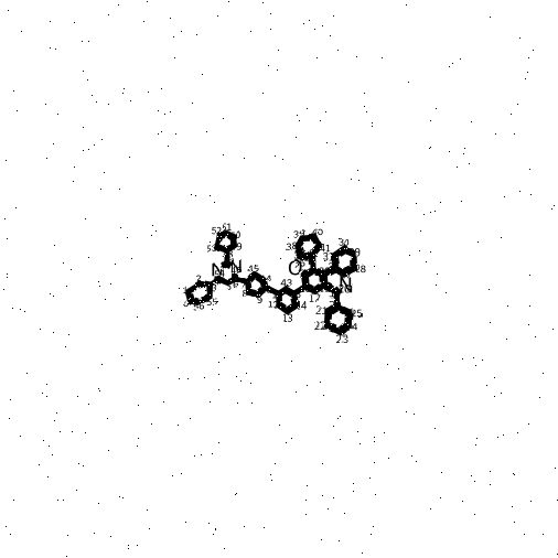 c1ccc(-c2cc(-c3ccc(-c4cccc(-c5cc6c(-c7ccccc7)nc7ccccc7c6c6c5oc5ccccc56)c4)cc3)nc(-c3ccccc3)n2)cc1